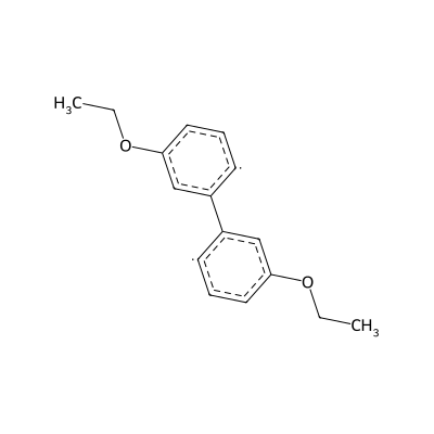 CCOc1cc[c]c(-c2[c]ccc(OCC)c2)c1